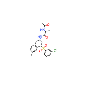 CC(=O)N[C@H](C)C(=O)N[C@@H]1Cc2ccc(C)cc2C(S(=O)(=O)c2cccc(Cl)c2)C1